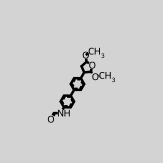 COC1CC(c2ccc(-c3ccc(NC=O)cc3)cc2)C(OC)O1